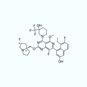 CCc1c(F)ccc2cc(O)cc(-c3nc(OC)c4c(N5CCCC(O)(C(F)(F)F)C5)nc(OC[C@@]56CCCN5C[C@H](F)C6)nc4c3F)c12